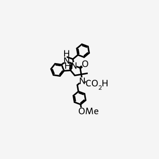 COc1ccc(CN(C(=O)O)C(C)(Cc2c[nH]c3ccccc23)C(=O)NC(C)c2ccccc2)cc1